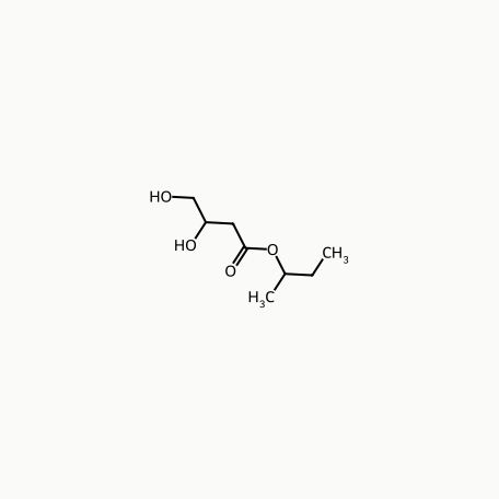 CCC(C)OC(=O)CC(O)CO